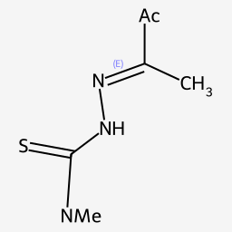 CNC(=S)N/N=C(\C)C(C)=O